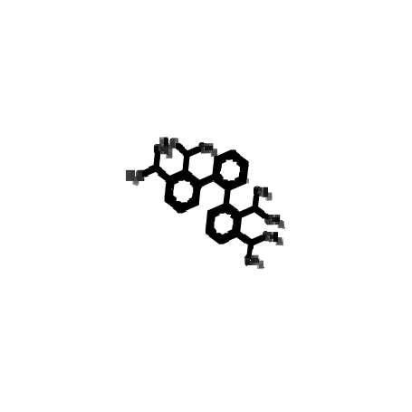 CC(C)c1cccc(-c2[c]cccc2-c2cccc(C(C)C)c2C(C)C)c1C(C)C